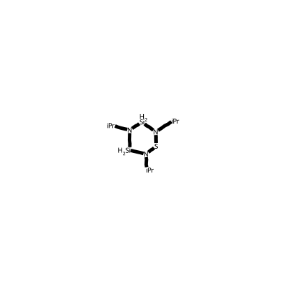 CC(C)N1[SiH2]N(C(C)C)SN(C(C)C)[SiH2]1